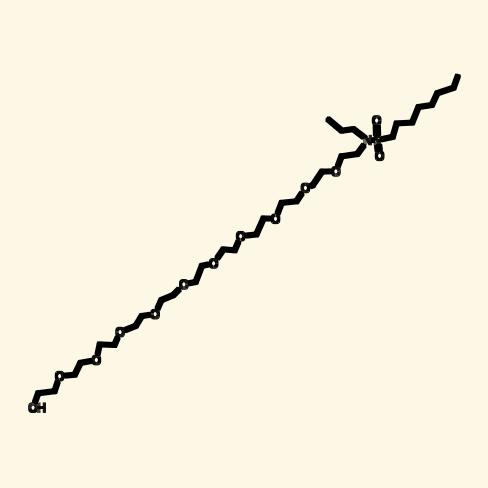 CCCCCCCCS(=O)(=O)N(CCC)CCOCCOCCOCCOCCOCCOCCOCCOCCOCCOCCO